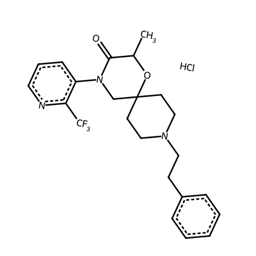 CC1OC2(CCN(CCc3ccccc3)CC2)CN(c2cccnc2C(F)(F)F)C1=O.Cl